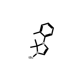 Cc1ccccc1N1C=CN(C(C)(C)C)C1(C)C